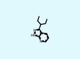 CCC(CC)c1n[nH]c2ncccc12